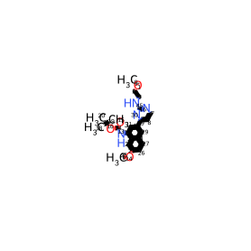 COCCNc1nccc(-c2cc(NC(=O)OC(C)(C)C)c3cc(OC)ccc3c2)n1